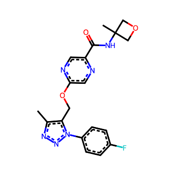 Cc1nnn(-c2ccc(F)cc2)c1COc1cnc(C(=O)NC2(C)COC2)cn1